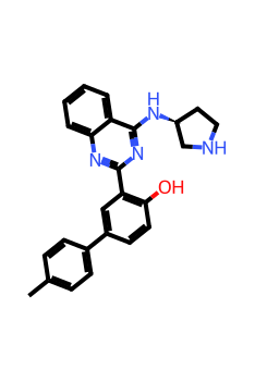 Cc1ccc(-c2ccc(O)c(-c3nc(N[C@H]4CCNC4)c4ccccc4n3)c2)cc1